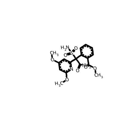 COC(=O)c1ccccc1C(C(N)=O)(c1cc(OC)cc(OC)n1)S(N)(=O)=O